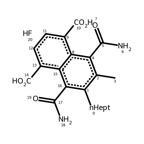 CCCCCCCc1c(C)c(C(N)=O)c2c(C(=O)O)ccc(C(=O)O)c2c1C(N)=O.F